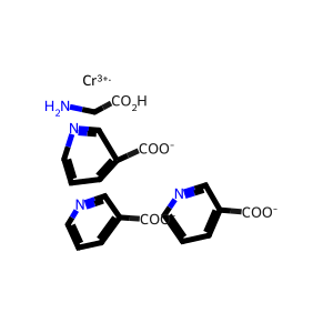 NCC(=O)O.O=C([O-])c1cccnc1.O=C([O-])c1cccnc1.O=C([O-])c1cccnc1.[Cr+3]